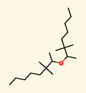 CCCCCC(C)(C)C(C)OC(C)C(C)(C)CCCCC